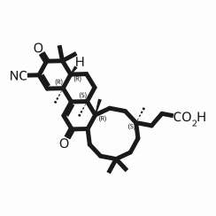 CC1(C)CCC2C(=O)C=C3[C@@]4(C)C=C(C#N)C(=O)C(C)(C)[C@@H]4CC[C@@]3(C)[C@]2(C)CC[C@@](C)(CCC(=O)O)CC1